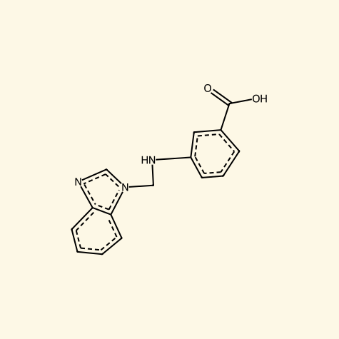 O=C(O)c1cccc(NCn2cnc3ccccc32)c1